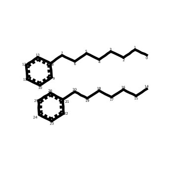 CCCCCCCCc1ccccc1.CCCCCCCc1ccccc1